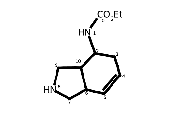 CCOC(=O)NC1CC=CC2CNCC21